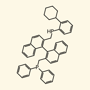 c1ccc(P(Cc2ccc3ccccc3c2-c2c(CPc3ccccc3C3CCCCC3)ccc3ccccc23)c2ccccc2)cc1